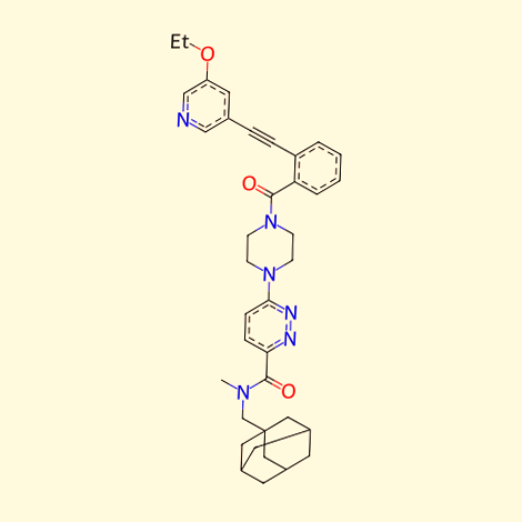 CCOc1cncc(C#Cc2ccccc2C(=O)N2CCN(c3ccc(C(=O)N(C)CC45CC6CC(CC(C6)C4)C5)nn3)CC2)c1